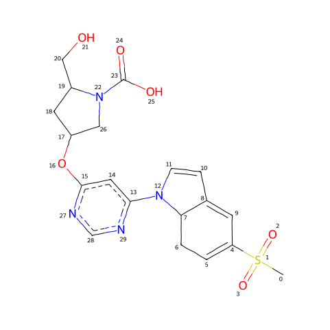 CS(=O)(=O)C1=CCC2C(=C1)C=CN2c1cc(OC2CC(CO)N(C(=O)O)C2)ncn1